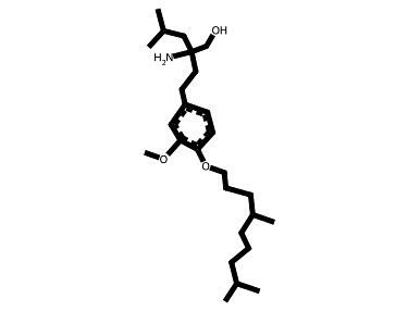 COc1cc(CCC(N)(CO)CC(C)C)ccc1OCCCC(C)CCCC(C)C